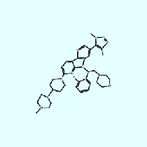 Cc1nnn(C)c1-c1cnc2c3ccc(N4CCC(N5CCN(C)CC5)CC4)nc3n(C(CC3CCOCC3)c3ccccc3F)c2c1